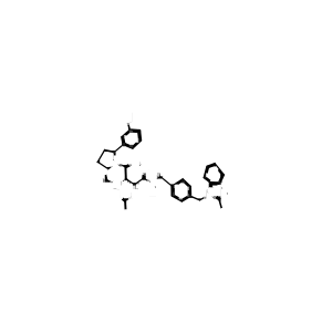 CC(=O)O[C@@H](C(=O)N[C@H](C)c1ccc(Cn2c(C)nc3ccccc32)cc1)[C@@H](OC(C)=O)C(=O)N1CCCC1c1cccc(Cl)c1